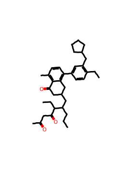 CCCC(CC1CC(=O)c2c(C)ccc(-c3ccc(CC)c(CC4CCCC4)c3)c2C1)C(CC)C(=O)CC(C)=O